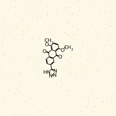 COc1ccc(OC)c2c1C(=O)c1ccc(-c3nnn[nH]3)cc1C2=O